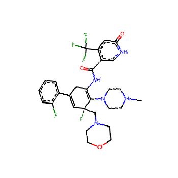 CN1CCN(C2=C(NC(=O)c3c[nH]c(=O)cc3C(F)(F)F)CC(c3ccccc3F)=CC2(F)CN2CCOCC2)CC1